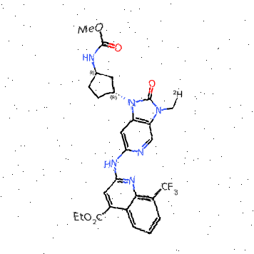 [2H]Cn1c(=O)n([C@@H]2CC[C@@H](NC(=O)OC)C2)c2cc(Nc3cc(C(=O)OCC)c4cccc(C(F)(F)F)c4n3)ncc21